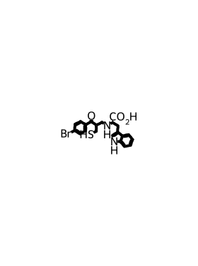 O=C(c1ccc(Br)cc1)C(CS)CN[C@@H](Cc1c[nH]c2ccccc12)C(=O)O